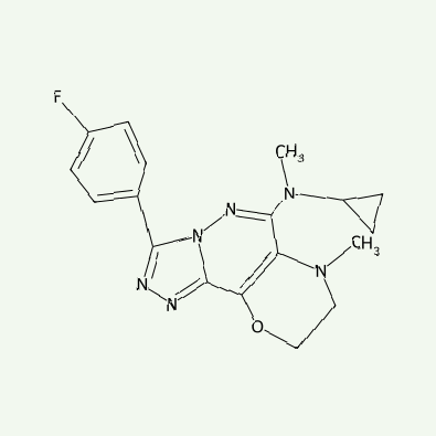 CN1CCOc2c1c(N(C)C1CC1)nn1c(-c3ccc(F)cc3)nnc21